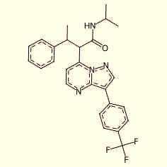 CC(C)NC(=O)C(c1ccnc2c(-c3ccc(C(F)(F)F)cc3)cnn12)C(C)c1ccccc1